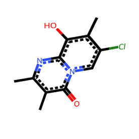 Cc1nc2c(O)c(C)c(Cl)cn2c(=O)c1C